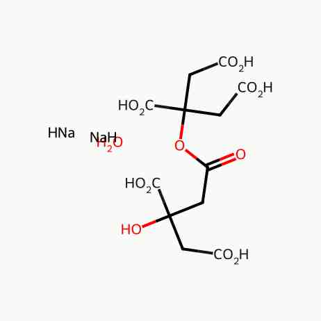 O.O=C(O)CC(O)(CC(=O)OC(CC(=O)O)(CC(=O)O)C(=O)O)C(=O)O.[NaH].[NaH]